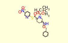 CC(C)(C)OC(=O)N1C[C@H](NOCc2ccccc2)CC[C@H]1C(=O)Sc1ccc([N+](=O)[O-])cn1